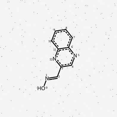 ON=Cc1cnc2ccccc2n1